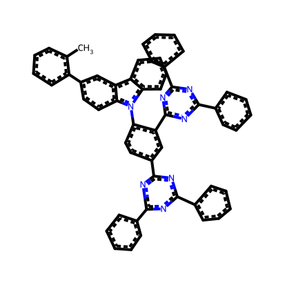 Cc1ccccc1-c1ccc2c(c1)c1ccccc1n2-c1ccc(-c2nc(-c3ccccc3)nc(-c3ccccc3)n2)cc1-c1nc(-c2ccccc2)nc(-c2ccccc2)n1